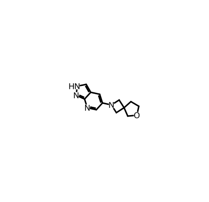 c1nc2n[nH]cc2cc1N1CC2(CCOC2)C1